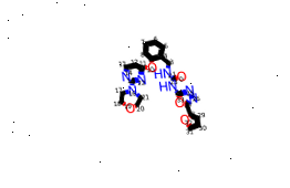 O=C(NCc1ccccc1Oc1ccnc(N2CCOCC2)n1)Nc1nnc(-c2ccco2)o1